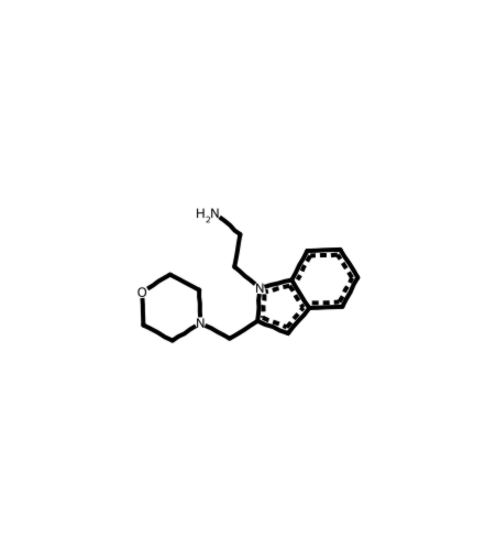 NCCn1c(CN2CCOCC2)cc2ccccc21